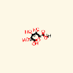 [2H]OC(=O)[C@H]1OC(O)[C@H](O)[C@@H](O)[C@@H]1O